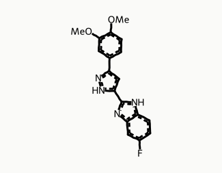 COc1ccc(-c2cc(-c3nc4cc(F)ccc4[nH]3)[nH]n2)cc1OC